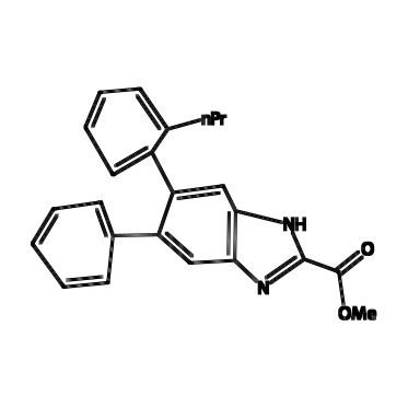 CCCc1ccccc1-c1cc2[nH]c(C(=O)OC)nc2cc1-c1ccccc1